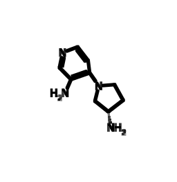 Nc1cnccc1N1CC[C@H](N)C1